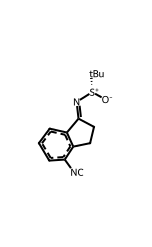 [C-]#[N+]c1cccc2c1CC/C2=N\[S@@+]([O-])C(C)(C)C